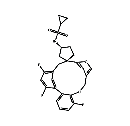 O=S(=O)(N[C@H]1CC[C@@]2(Cc3cc(c(F)cc3F)-c3cccc(F)c3OCc3coc2n3)C1)C1CC1